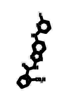 O=C(O)C1C2C=CC(C2)C1C(=O)Nc1nc2ccc(Nc3cccc(F)n3)cc2s1